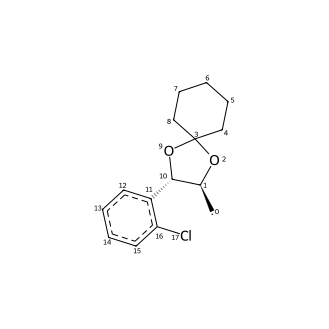 [CH2][C@@H]1OC2(CCCCC2)O[C@H]1c1ccccc1Cl